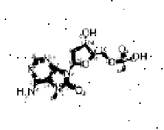 Cn1c(=O)n([C@H]2C[C@H](O)[C@@H](COP(C)(=O)O)O2)c2ncnc(N)c21